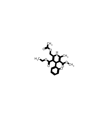 CCOC(=O)C1=C(COC(C)=O)NC(C)=C(C(=O)OC)C1c1ccccc1Cl